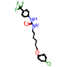 O=C(NCCCCCCOc1ccc(Cl)cc1)Nc1ccc(C(F)(F)F)cc1